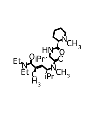 CCN(CC)C(=O)/C(C)=C/[C@H](C(C)C)N(C)C(=O)[C@@H](NC(=O)[C@H]1CCCCN1C)C(C)C